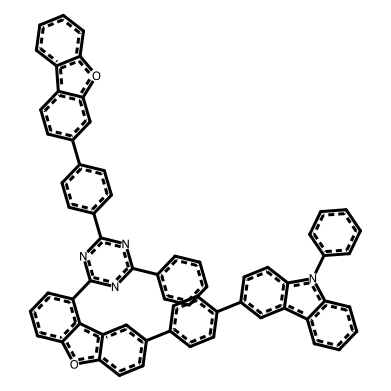 c1ccc(-c2nc(-c3ccc(-c4ccc5c(c4)oc4ccccc45)cc3)nc(-c3cccc4oc5ccc(-c6ccc(-c7ccc8c(c7)c7ccccc7n8-c7ccccc7)cc6)cc5c34)n2)cc1